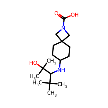 CC(C)(C)C(NC1CCC2(CC1)CN(C(=O)O)C2)C(C)(C)O